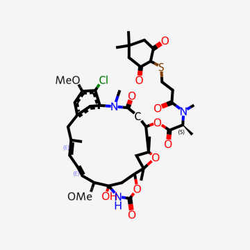 COc1cc2cc(c1Cl)N(C)C(=O)CC(OC(=O)[C@H](C)N(C)C(=O)CCSC1C(=O)CC(C)(C)CC1=O)C1(C)CC(C)(O1)C1CC(O)(NC(=O)O1)C(OC)/C=C/C=C(\C)C2